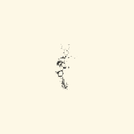 CCC[CH2][Sn]([CH2]CCC)([CH2]CCC)[c]1cn2cnc(C(=O)c3cncc(CO[Si](C)(C)C(C)(C)C)c3)c2s1